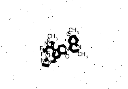 COc1ccc2nc(C)cc(N3CCc4c(cc(Cn5ccnc5C)cc4-c4cn(C)nc4C(F)(F)F)C3=O)c2c1